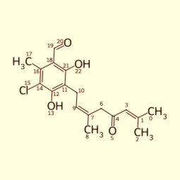 CC(C)=CC(=O)CC(C)=CCc1c(O)c(Cl)c(C)c(C=O)c1O